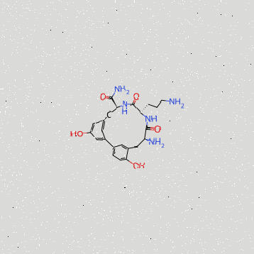 NCCC[C@@H]1NC(=O)[C@@H](N)Cc2cc(ccc2O)-c2cc(O)cc(c2)C[C@@H](C(N)=O)NC1=O